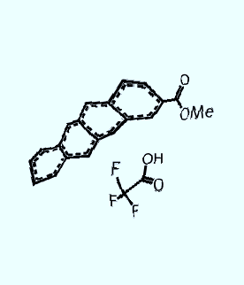 COC(=O)c1ccc2cc3cc4ccccc4cc3cc2c1.O=C(O)C(F)(F)F